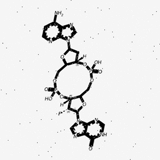 Nc1ccnc2c1ncn2C1C[C@@H]2OP(=O)(O)OCC3OC(n4cnc5c(=O)[nH]cnc54)[C@H](F)[C@@H]3OP(=O)(O)OCC2O1